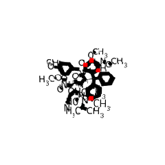 CONc1ccn([C@]2(Cc3ccc(OC)c(OC)c3)O[C@H](C(O)[N+](=O)[O-])[C@@H](O[PH](O)(CCC#N)N(C(C)C)C(C)C)[C@H]2C(c2ccccc2)(c2ccccc2)c2ccc(OC)cc2)c(=O)n1